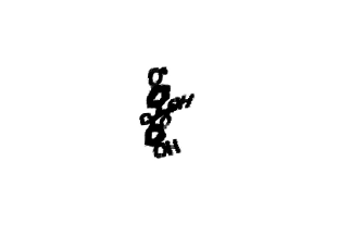 COc1ccc(C2C(=O)c3ccc(O)cc3OC2O)cc1